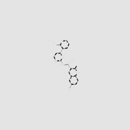 COc1ncccc1-c1ccnc(N[C@@H](C)c2cc3cc(Cl)ccc3[nH]c2=O)n1